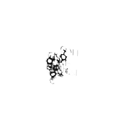 COc1cc(C(=O)O)ccc1NC(=O)[C@@H]1N[C@@H](CC(C)(C)C)[C@](C#N)(c2ccc(Cl)cc2F)[C@H]1c1cccc(Cl)c1F.[CsH]